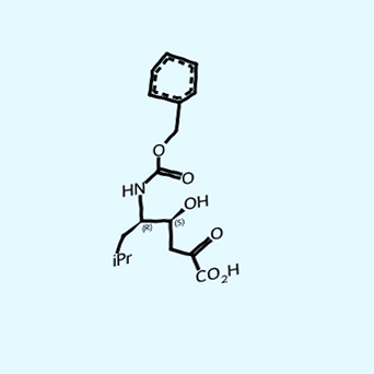 CC(C)C[C@@H](NC(=O)OCc1ccccc1)[C@@H](O)CC(=O)C(=O)O